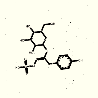 O=S(=O)(O)O/N=C(\Cc1ccc(O)cc1)SC1CC(CO)C(O)C(O)C1O